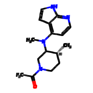 C[C@@H]1CCN(C(=O)C(F)(F)F)CC1N(C)c1ccnc2[nH]ccc12